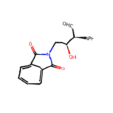 CC(C)[C@H](C=O)[C@@H](O)CN1C(=O)c2ccccc2C1=O